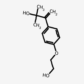 C=C(c1ccc(OCCO)cc1)C(C)(C)O